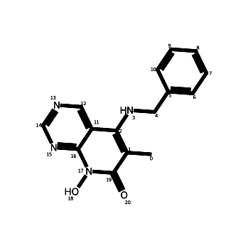 Cc1c(NCc2ccccc2)c2cncnc2n(O)c1=O